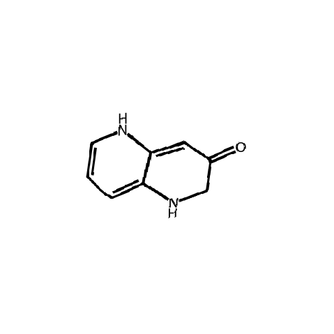 O=C1C=C2NC=CC=C2NC1